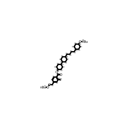 [CH2+][CH-]CCOOCc1ccc(C(=O)OC2CCC(C3CCC(CCCCC4CCC(OCCCC)CC4)CC3)CC2)c(F)c1